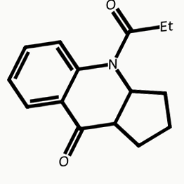 CCC(=O)N1c2ccccc2C(=O)C2CCCC21